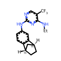 CCNc1nc(Nc2ccc3c(c2)[C@H]2CC[C@H]3C2)ncc1C(F)(F)F